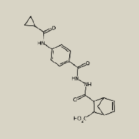 O=C(NNC(=O)C1C2C=CC(C2)C1C(=O)O)c1ccc(NC(=O)C2CC2)cc1